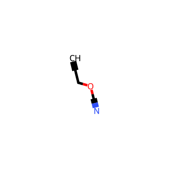 C#CCOC#N